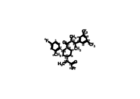 Cc1cc(F)ccc1[C@H]1C[C@@H](N(C)C(=O)C(C)C)CCN1C(=O)N(C)[C@H](C)c1cc(C(F)(F)F)cc(C(F)(F)F)c1